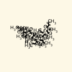 C=C(C(=O)N(C)[C@@H](CC(C)C)C(=O)N[C@H](C(=O)N(C)[C@@H](CC(C)C)C(=O)N[C@H](C)C(=O)NC(C)C(=O)N(C)[C@@H](CC(C)C)C(=O)N(C)C(=O)NC)C(C)C)N(C)C(=O)CCC